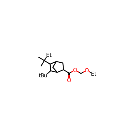 CCOCOC(=O)C1CC2CC1C(C(C)(C)C)C2C(C)(C)CC